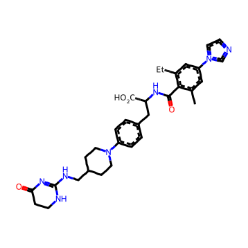 CCc1cc(-n2ccnc2)cc(C)c1C(=O)NC(Cc1ccc(N2CCC(CNC3=NC(=O)CCN3)CC2)cc1)C(=O)O